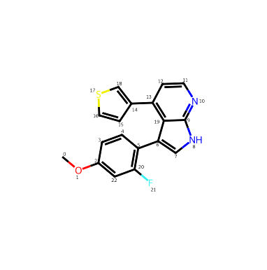 COc1ccc(-c2c[nH]c3nccc(-c4ccsc4)c23)c(F)c1